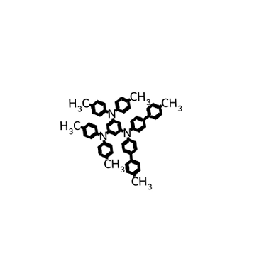 Cc1ccc(-c2ccc(N(c3ccc(-c4ccc(C)cc4)cc3)c3cc(N(c4ccc(C)cc4)c4ccc(C)cc4)cc(N(c4ccc(C)cc4)c4ccc(C)cc4)c3)cc2)cc1